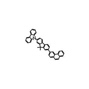 CC1(C)c2cc(-c3ccc4ccc5ccccc5c4c3)ccc2-c2ccc(-n3c4ccccc4c4ccccc43)cc21